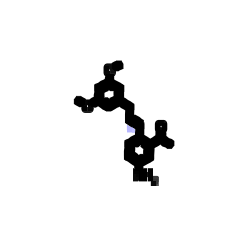 COc1cc(C/C=C/c2ccc(N)cc2C(C)=O)cc(OC)c1